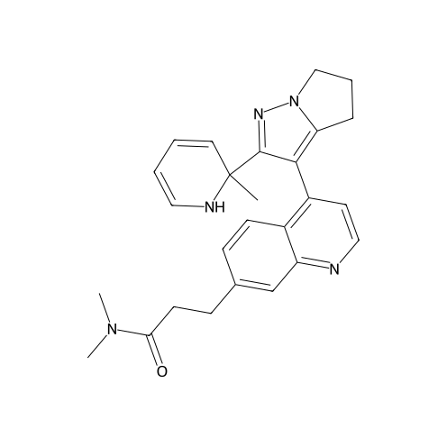 CN(C)C(=O)CCc1ccc2c(-c3c(C4(C)C=CC=CN4)nn4c3CCC4)ccnc2c1